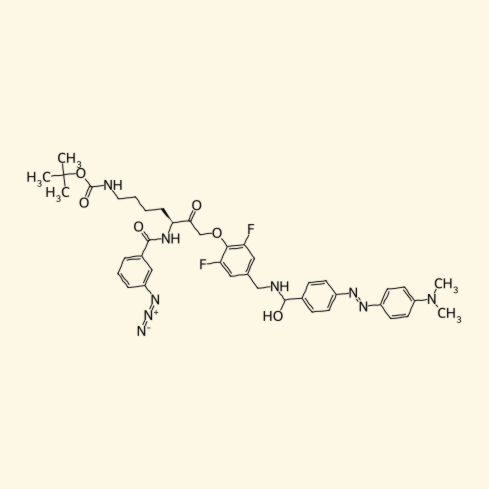 CN(C)c1ccc(/N=N/c2ccc(C(O)NCc3cc(F)c(OCC(=O)[C@H](CCCCNC(=O)OC(C)(C)C)NC(=O)c4cccc(N=[N+]=[N-])c4)c(F)c3)cc2)cc1